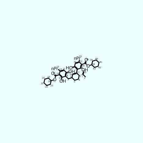 C=C(C)[C@@H]1CCC(Cc2c(O)cc(CCC)c(C(=O)OC3CCCCC3)c2O)C=C1c1c(O)cc(CCC)c(C(=O)OC2CCCCC2)c1O